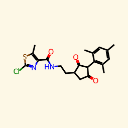 Cc1cc(C)c(C2C(=O)CC(CCNC(=O)c3nc(Cl)sc3C)C2=O)c(C)c1